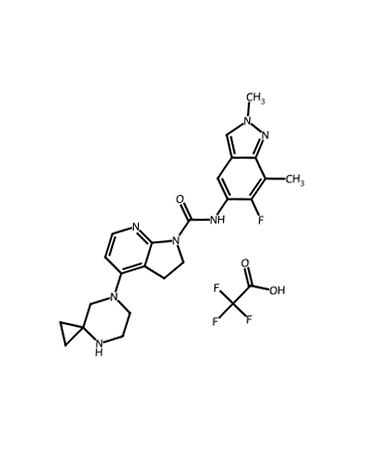 Cc1c(F)c(NC(=O)N2CCc3c(N4CCNC5(CC5)C4)ccnc32)cc2cn(C)nc12.O=C(O)C(F)(F)F